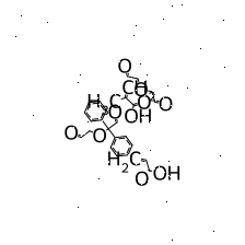 C=C(C)C(=O)O.C=CC(=O)O.O=CCOC(C=O)(c1ccccc1)c1ccccc1.O=CCOCC=O